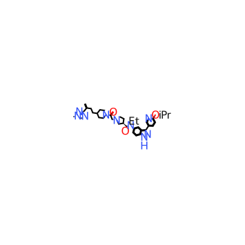 C=C(CCC1CCN(C(=O)CN2CC[C@@H](C(=O)N(CC)c3ccc4[nH]nc(-c5ccc(OC(C)C)nc5)c4c3)C2)CC1)c1ncn(C)n1